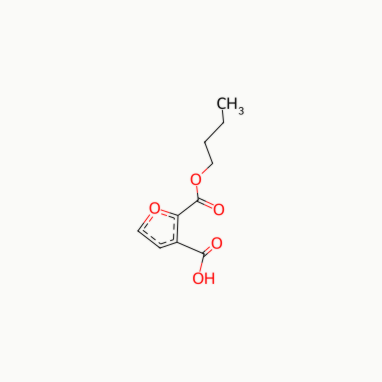 CCCCOC(=O)c1occc1C(=O)O